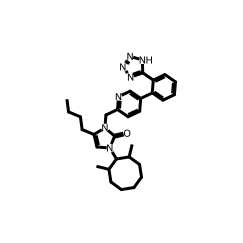 CCCCc1cn(C2C(C)CCCCCC2C)c(=O)n1Cc1ccc(-c2ccccc2-c2nnn[nH]2)cn1